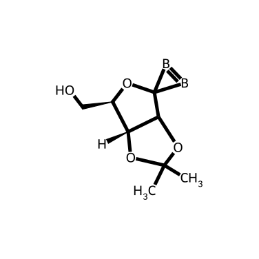 CC1(C)OC2[C@H](O1)[C@@H](CO)OC21B=B1